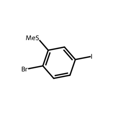 CSc1cc(I)ccc1Br